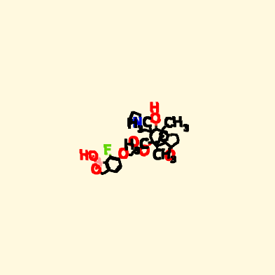 CC1C(O)C(C)(CN2CCC2)CC(OC(=O)COc2ccc3c(c2F)B(O)OC3)C2(C)C(C)CCC13CCC(=O)C32